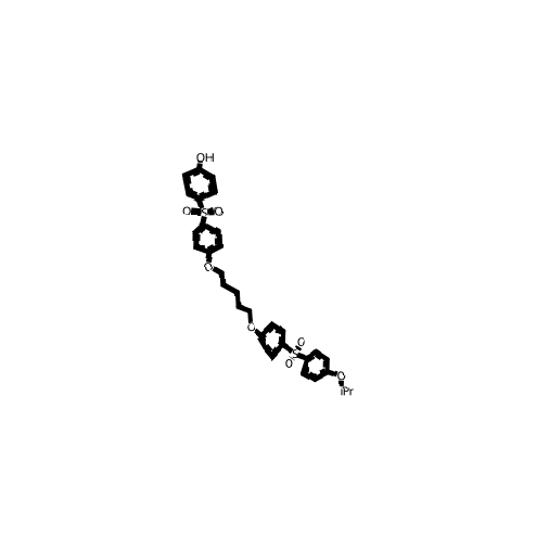 CC(C)Oc1ccc(S(=O)(=O)c2ccc(OCCCCCOc3ccc(S(=O)(=O)c4ccc(O)cc4)cc3)cc2)cc1